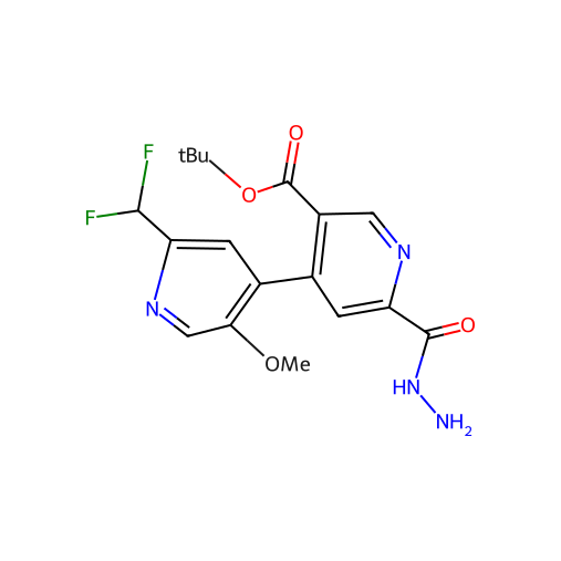 COc1cnc(C(F)F)cc1-c1cc(C(=O)NN)ncc1C(=O)OC(C)(C)C